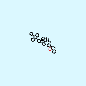 CC1(C)c2cc(-c3ccc4c(c3)oc3c5ccccc5ccc43)ccc2-c2ccc(-c3c4ccccc4c(-c4ccccc4)c4ccccc34)cc21